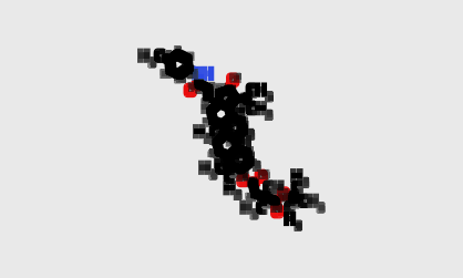 Cc1ccc(NC(=O)/C=C/[C@@]23CC[C@]4(C)[C@H](CC[C@@H]5[C@@]6(C)CC[C@H](OC(=O)CC(C)(C)C(=O)OC(C)(C)C)C(C)(C)[C@@H]6CC[C@]54C)C2=C(C(C)C)C(=O)C3)cc1